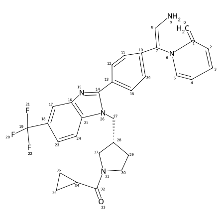 C=C1C=CC=CN1/C(=C\N)c1ccc(-c2nc3cc(C(F)(F)F)ccc3n2C[C@@H]2CCN(C(=O)C3CC3)C2)cc1